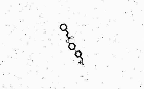 CN(C)Cc1ccc([C@H]2CC[C@H](OC(=O)/C=C/C3CCCCC3)CC2)cc1